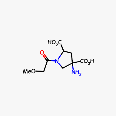 COCC(=O)N1CC(N)(C(=O)O)CC1C(=O)O